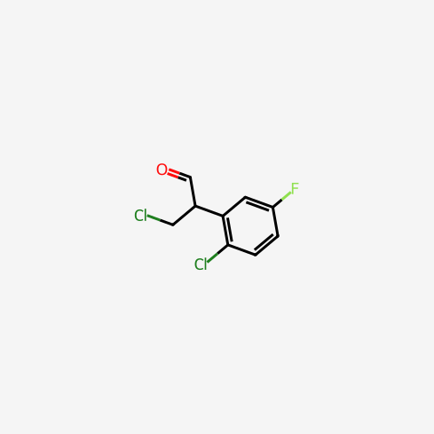 O=CC(CCl)c1cc(F)ccc1Cl